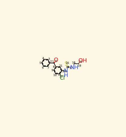 O=C(c1ccccc1)c1ccc(Cl)c(NC(=S)NCCO)c1